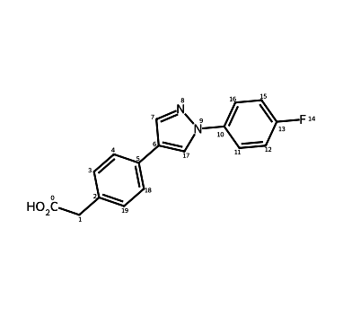 O=C(O)Cc1ccc(-c2cnn(-c3ccc(F)cc3)c2)cc1